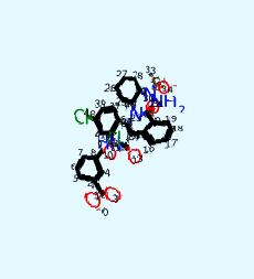 COC(=O)c1cccc(CONC(=O)[C@H]2c3ccccc3C(=O)N([C@@H]3CCCC[C@H]3N(N)[S+](C)[O-])[C@@H]2c2ccc(Cl)cc2Cl)c1